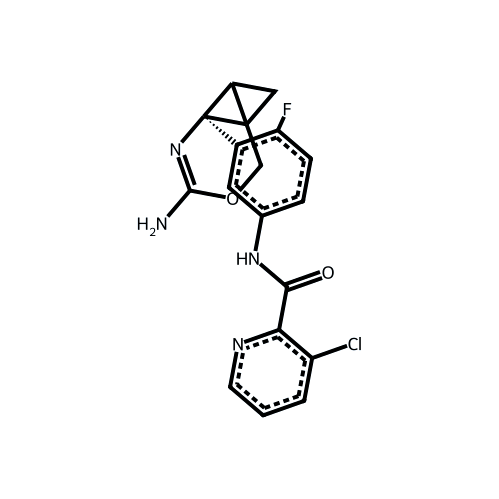 NC1=N[C@@]2(c3cc(NC(=O)c4ncccc4Cl)ccc3F)C3CC32CO1